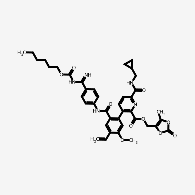 C=Cc1cc(C(=O)Nc2ccc(C(=N)NC(=O)OCCCCCC)cc2)c(-c2ccc(C(=O)NCC3CC3)nc2C(=O)OCc2oc(=O)oc2C)cc1OC